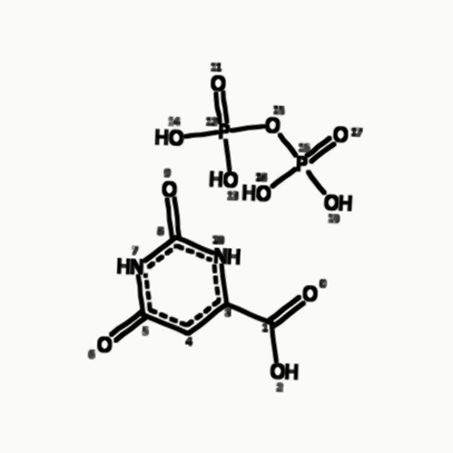 O=C(O)c1cc(=O)[nH]c(=O)[nH]1.O=P(O)(O)OP(=O)(O)O